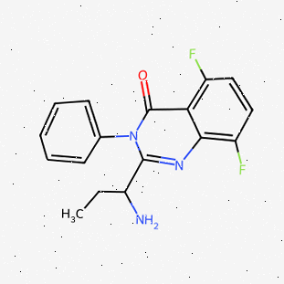 CCC(N)c1nc2c(F)ccc(F)c2c(=O)n1-c1ccccc1